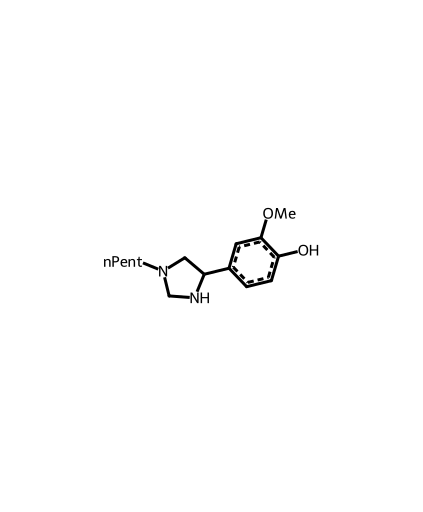 CCCCCN1CNC(c2ccc(O)c(OC)c2)C1